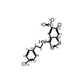 O=[N+]([O-])c1cc2c(NCCc3ccc(Cl)cc3)ncnc2cc1Cl